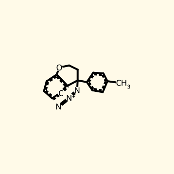 Cc1ccc(C2(N=[N+]=[N-])CCOc3ccccc32)cc1